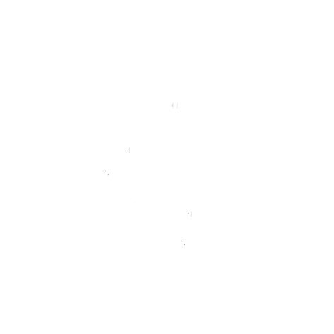 OCCCNc1cc(-c2ccc3ncn(Cc4cccc(F)c4)c3c2)c(Cl)cn1